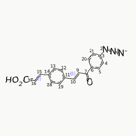 [N-]=[N+]=Nc1ccc(C(=O)/C=C/c2ccc(/C=C/C(=O)O)cc2)cc1